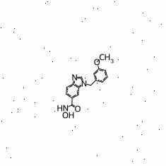 COc1cccc(Cn2cnc3ccc(C(=O)NO)cc32)c1